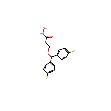 O=C(CCOC(c1ccc(F)cc1)c1ccc(F)cc1)NO